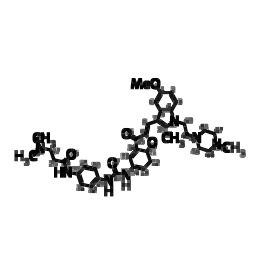 COc1ccc2c(c1)c(/C=C1\OC3CC=C(NC(=O)Nc4ccc(NC(=O)CCN(C)C)cc4)C=C3C1=O)c(C)n2CCN1CCN(C)CC1